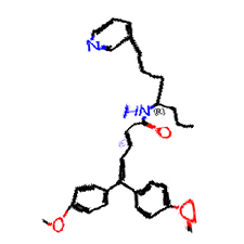 CCC[C@H](CCCc1cccnc1)NC(=O)/C=C/C=C(c1ccc(OC)cc1)c1ccc(OC)cc1